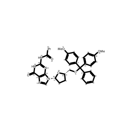 COc1ccc(C(OC[C@@H]2C[CH][C@H](n3cnc4c(=O)[nH]c(NC(=O)C(C)C)nc43)O2)(c2ccccc2)c2ccc(OC)cc2)cc1